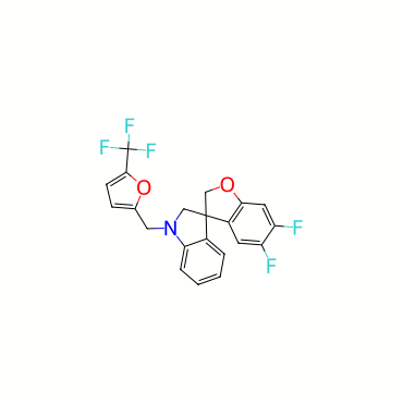 Fc1cc2c(cc1F)C1(CO2)CN(Cc2ccc(C(F)(F)F)o2)c2ccccc21